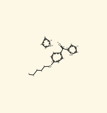 CCCCCOc1ccc(C(=O)c2cc[c]s2)cc1.[c]1cccs1